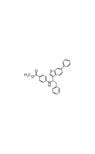 COC(=O)c1ccc(NC(Cc2ccccc2)c2csc3cc(-c4ccccc4)ccc23)cc1